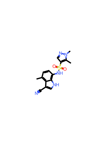 Cc1ccc(NS(=O)(=O)c2cnn(C)c2C)c2[nH]cc(C#N)c12